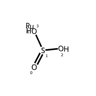 O=S(O)O.[Ru]